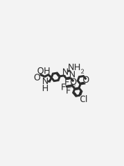 Nc1nc(O[C@H](c2ccc(Cl)cc2C2=COCCC2)C(F)(F)F)cc(C2=CCC3(CC2)CNC(C(=O)O)C3)n1